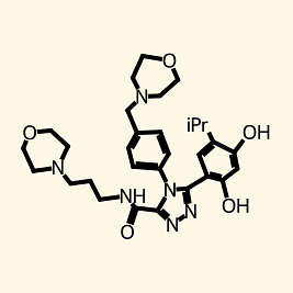 CC(C)c1cc(-c2nnc(C(=O)NCCCN3CCOCC3)n2-c2ccc(CN3CCOCC3)cc2)c(O)cc1O